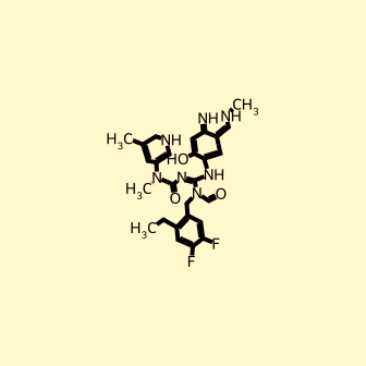 CCc1cc(F)c(F)cc1CN(C=O)/C(=N\C(=O)N(C)C1=CNCC(C)=C1)NC1=C/C(=C/NC)C(=N)C=C1O